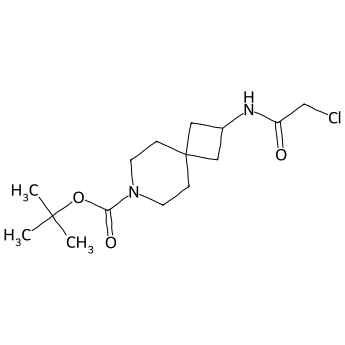 CC(C)(C)OC(=O)N1CCC2(CC1)CC(NC(=O)CCl)C2